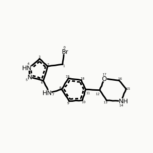 BrCc1c[nH]nc1Nc1ccc(C2CNCCO2)cc1